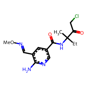 CCC(C)(NC(=O)c1cnc(N)c(C=NOC)c1)C(=O)CCl